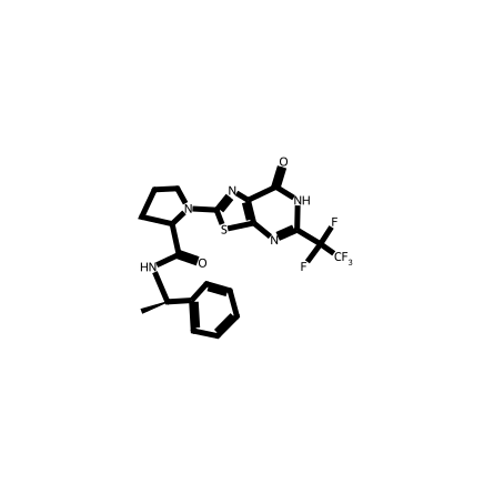 C[C@@H](NC(=O)C1CCCN1c1nc2c(=O)[nH]c(C(F)(F)C(F)(F)F)nc2s1)c1ccccc1